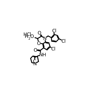 CC1Oc2c(C(=O)NC3CN4CCC3CC4)cc(Cl)cc2N(Cc2ccc(Cl)cc2Cl)C1=O.Cl.O